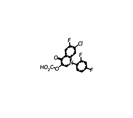 O=C(O)Oc1cn(-c2ccc(F)cc2F)c2cc(Cl)c(F)cc2c1=O